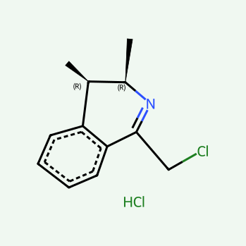 C[C@@H]1c2ccccc2C(CCl)=N[C@@H]1C.Cl